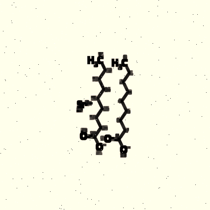 CCCCCCCCC(=O)[O-].CCCCCCCCC(=O)[O-].[Sr+2]